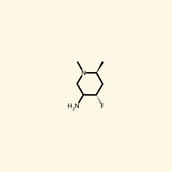 C[C@H]1C[C@H](F)C(N)CN1C